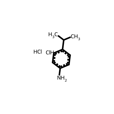 CC(C)c1ccc(N)cc1.Cl.Cl